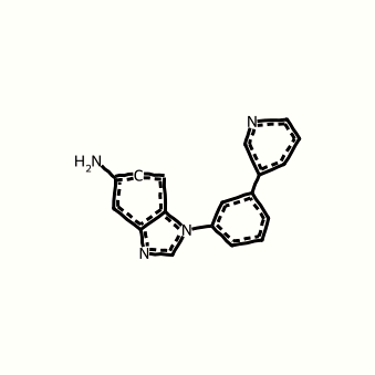 Nc1ccc2c(c1)ncn2-c1cccc(-c2cccnc2)c1